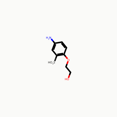 Nc1ccc(OCCO)c(S(=O)(=O)O)c1